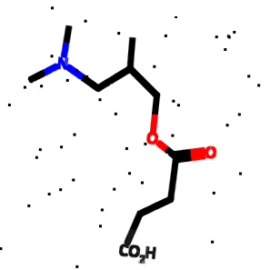 CC(COC(=O)CCC(=O)O)CN(C)C